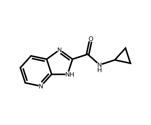 O=C(NC1CC1)c1nc2cccnc2[nH]1